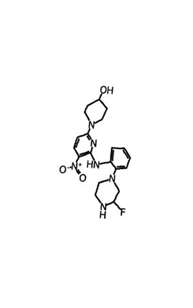 O=[N+]([O-])c1ccc(N2CCC(O)CC2)nc1Nc1ccccc1N1CCNC(F)C1